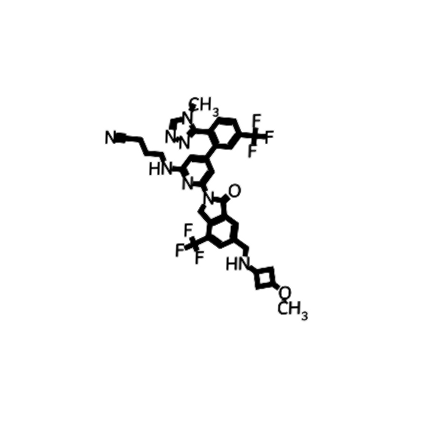 COC1CC(NCc2cc3c(c(C(F)(F)F)c2)CN(c2cc(-c4cc(C(F)(F)F)ccc4-c4nncn4C)cc(NCCCC#N)n2)C3=O)C1